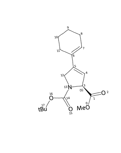 COC(=O)[C@@H]1C=C(C2=CCCCC2)CN1C(=O)OC(C)(C)C